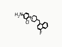 Nc1ccc(N2CCC(Cc3ccc(F)c4ccccc34)CC2)c(Cl)c1